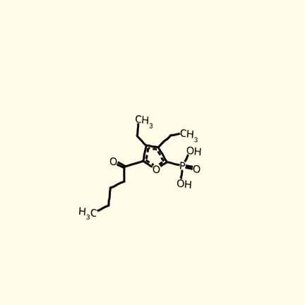 CCCCC(=O)c1oc(P(=O)(O)O)c(CC)c1CC